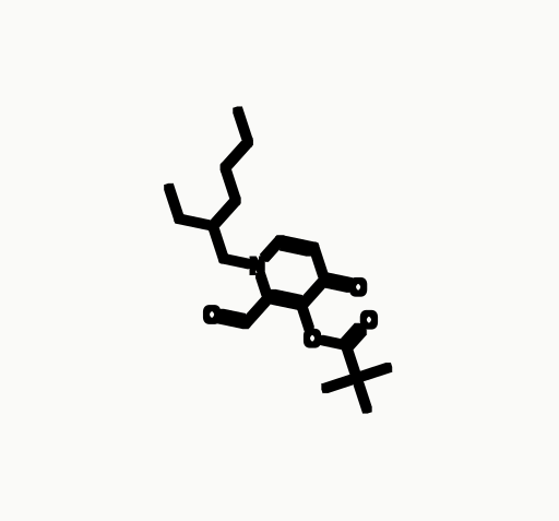 CCCCC(CC)Cn1ccc(=O)c(OC(=O)C(C)(C)C)c1C=O